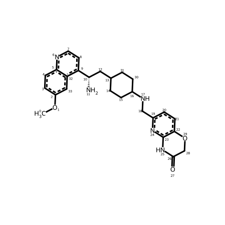 COc1ccc2nccc([C@@H](N)CC3CCC(NCc4ccc5c(n4)NC(=O)CO5)CC3)c2c1